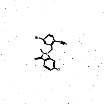 Cn1c(=O)c2ccc(Cl)cc2n1Cc1cc(Br)ccc1C#N